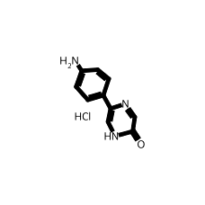 Cl.Nc1ccc(-c2c[nH]c(=O)cn2)cc1